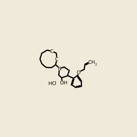 C=CCOc1ccccc1C1CCN(C2CCCCCCCCC2)CC1O.Cl